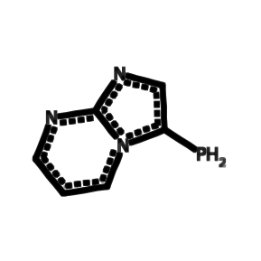 Pc1cnc2ncccn12